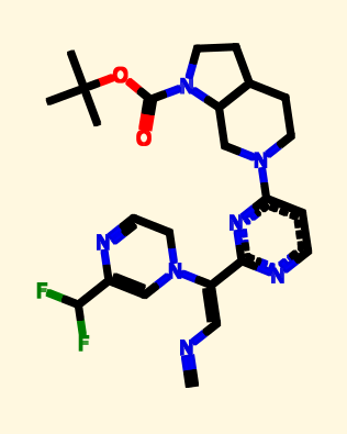 C=N/C=C(/c1nccc(N2CCC3CCN(C(=O)OC(C)(C)C)C3C2)n1)N1C=C(C(F)F)N=CC1